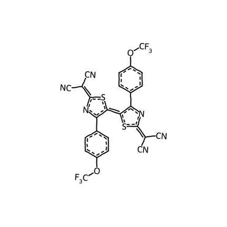 N#CC(C#N)=c1nc(-c2ccc(OC(F)(F)F)cc2)/c(=c2\sc(=C(C#N)C#N)nc2-c2ccc(OC(F)(F)F)cc2)s1